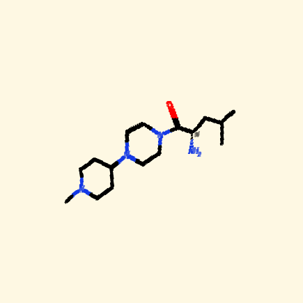 CC(C)C[C@H](N)C(=O)N1CCN(C2CCN(C)CC2)CC1